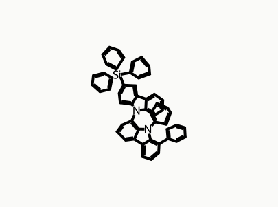 c1ccc(-c2cccc3c4cccc(-n5c6ccccc6c6cc([Si](c7ccccc7)(c7ccccc7)c7ccccc7)ccc65)c4n(-c4ccccc4)c23)cc1